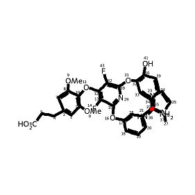 COc1cc(CCC(=O)O)cc(OC)c1Oc1c(F)c(Oc2cccc(-c3nccn3C)c2)nc(Oc2cc(C(=N)N)ccc2O)c1F